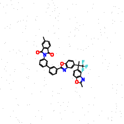 Cc1ccc2c(c1)C(=O)N(c1cccc(-c3cccc(-c4nc5cc(C(C)(c6ccc7oc(C)nc7c6)C(F)(F)F)ccc5o4)c3)c1)C2=O